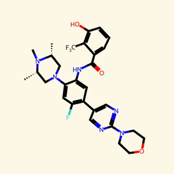 C[C@@H]1CN(c2cc(F)c(-c3cnc(N4CCOCC4)nc3)cc2NC(=O)c2cccc(O)c2C(F)(F)F)C[C@H](C)N1C